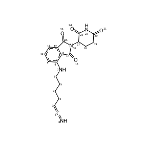 N=C=CCCCCNc1cccc2c1C(=O)N(C1CCC(=O)NC1=O)C2=O